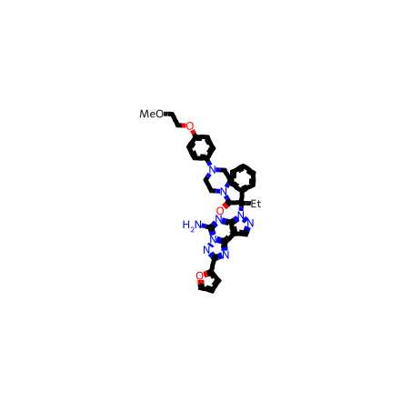 CCC(C(=O)N1CCN(c2ccc(OCCOC)cc2)CC1)(c1ccccc1)n1ncc2c1nc(N)n1nc(-c3ccco3)nc21